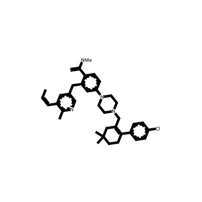 C=C(NC)c1ccc(N2CCN(CC3=C(c4ccc(Cl)cc4)CCC(C)(C)C3)CC2)cc1Cc1cnc(C)c(/C=C\C)c1